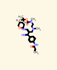 C=CC(=O)Nc1ccc(C(=N)/C(=C\NC2CCCCO2)CN(C)CCN(C)C(=O)OC(C)(C)C)cc1